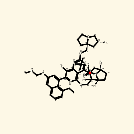 CCc1cccc2cc(OCOC)cc(-c3nc4c5c(nc(OC[C@@]67CCCN6C[C@H](F)C7)nc5c3F)N3C[C@@H]5CC[C@H]([C@@H]3CO4)N5C(=O)OC(C)(C)C)c12